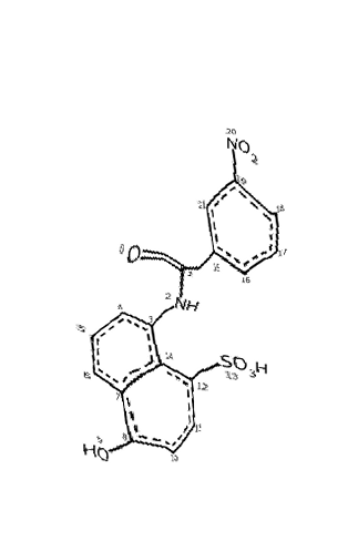 O=C(Nc1cccc2c(O)ccc(S(=O)(=O)O)c12)c1cccc([N+](=O)[O-])c1